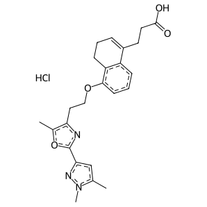 Cc1oc(-c2cc(C)n(C)n2)nc1CCOc1cccc2c1CCC=C2CCC(=O)O.Cl